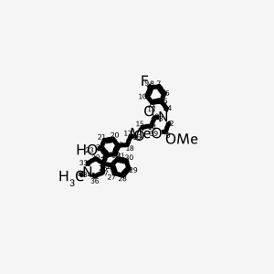 COC(CN(Cc1ccc(F)cc1)C(=O)CCOCCc1ccc(O)c(C2(c3ccccc3)CCN(C)CC2)c1)OC